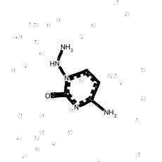 NNn1ccc(N)nc1=O